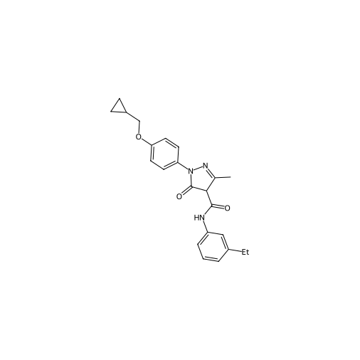 CCc1cccc(NC(=O)C2C(=O)N(c3ccc(OCC4CC4)cc3)N=C2C)c1